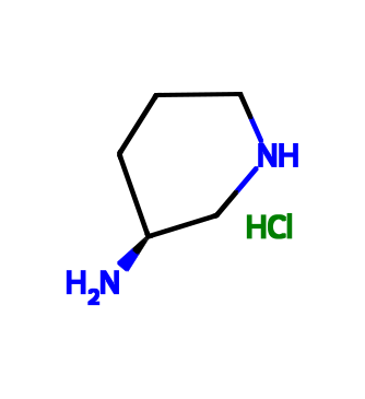 Cl.N[C@H]1CCCNC1